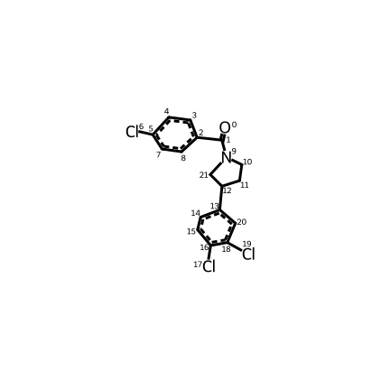 O=C(c1ccc(Cl)cc1)N1CCC(c2ccc(Cl)c(Cl)c2)C1